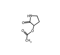 CC(=O)OC1CCNC1=O